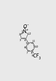 [O-][N+]1=CC=C(c2ccc(C(F)(F)F)cc2)C1